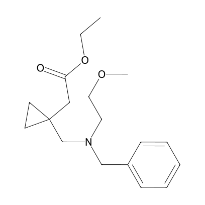 CCOC(=O)CC1(CN(CCOC)Cc2ccccc2)CC1